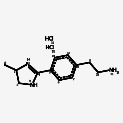 CC1CNC(c2ccc(CCN)cc2)=N1.Cl.Cl